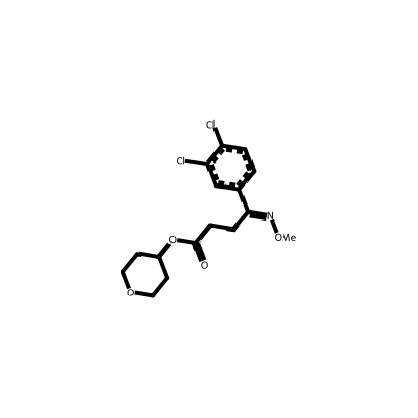 CO/N=C(\CCC(=O)OC1CCOCC1)c1ccc(Cl)c(Cl)c1